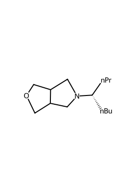 CCCC[C@@H](CCC)N1CC2COCC2C1